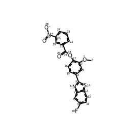 COc1cc(-c2nc3cc(F)ccc3s2)ccc1OC(=O)c1cccc([N+](=O)[O-])c1